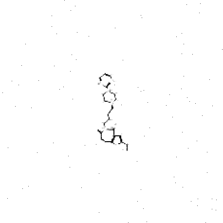 CCc1cc2c(s1)CCC(=O)N(CCCCN1CCN(c3ncccn3)CC1)C2=O